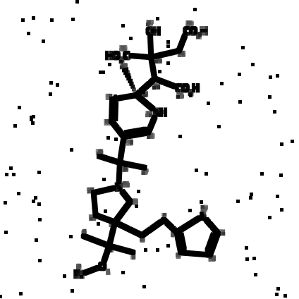 CCOC(C)(C)C1(CCc2cccs2)CCN(C(C)(C)C2=CN[C@](C)(C(C(=O)O)C(O)(CC(=O)O)C(=O)O)C=C2)C1